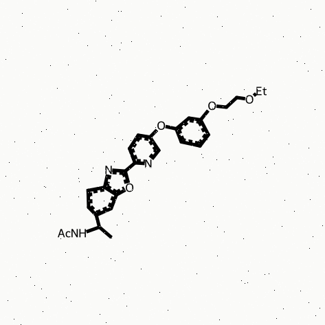 CCOCCOc1cccc(Oc2ccc(-c3nc4ccc(C(C)NC(C)=O)cc4o3)nc2)c1